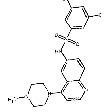 CN1CCN(c2ccnc3ccc(NS(=O)(=O)c4cc(Cl)cc(Cl)c4)cc23)CC1